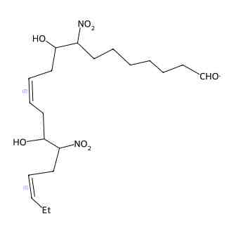 CC/C=C\CC(C(O)C/C=C\CC(O)C(CCCCCC[C]=O)[N+](=O)[O-])[N+](=O)[O-]